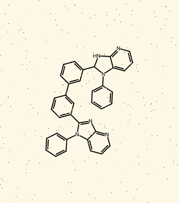 c1ccc(N2c3cccnc3NC2c2cccc(-c3cccc(-c4nc5ncccc5n4-c4ccccc4)c3)c2)cc1